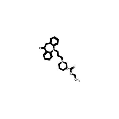 CCOC(=O)[C@@H]1CCCN(CCCN2c3ccccc3CC(=O)c3ccccc32)C1